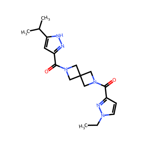 CCn1ccc(C(=O)N2CC3(CN(C(=O)c4cc(C(C)C)[nH]n4)C3)C2)n1